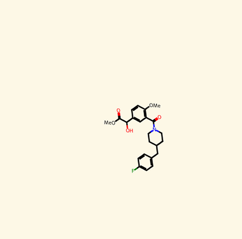 COC(=O)C(O)c1ccc(OC)c(C(=O)N2CCC(Cc3ccc(F)cc3)CC2)c1